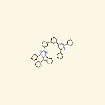 c1ccc(-c2cc(-c3cccc(-c4cccc(-c5nc(-c6ccccc6)n6c(-c7ccccc7)c7ccccc7c6n5)c4)c3)cc(-c3ccccc3)n2)cc1